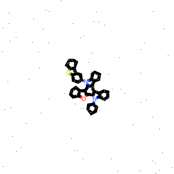 c1ccc(-n2c3ccccc3c3c4c5ccccc5n(-c5ccc6sc7ccccc7c6c5)c4c4c5ccccc5oc4c32)cc1